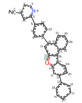 N#Cc1ccnc(-c2ccc(-c3cc4oc5cc(-c6ccccc6)ccc5c4c4ccccc34)cc2)c1